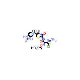 C[C@H](O/N=C(\C(=O)N[C@@H]1C(=O)N2C(C(=O)O)=C(C[n+]3ccc4[nH]c(=O)[nH]c4c3)CSC12)c1nc(N)sc1Cl)C(=O)O